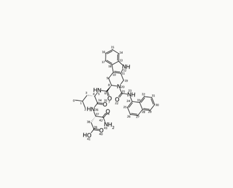 CC(C)C[C@H](NC(=O)[C@H]1Cc2c([nH]c3ccccc23)CN1C(=O)Nc1cccc2ccccc12)C(=O)N[C@@H](CC(=O)O)C(N)=O